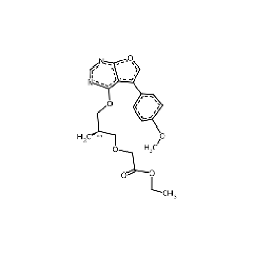 CCOC(=O)COC[C@@H](C)COc1ncnc2occ(-c3ccc(OC)cc3)c12